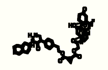 C[C@]12C[C@H](O)[C@@]3(F)[C@@H](C[C@H](F)C4=CC(=O)C=C[C@@]43C)[C@@H]1CC[C@@H]2C(=O)COC(=O)C1CC1C(=O)OCCc1ccc(C(CN)C(=O)Nc2ccc3cnccc3c2)cc1